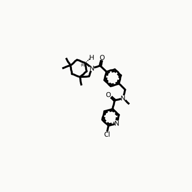 CN(Cc1ccc(C(=O)N2CC3(C)C[C@H]2CC(C)(C)C3)cc1)C(=O)c1ccc(Cl)nc1